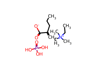 C=C(CCC)C(=O)[O-].CC[N+](C)(C)C.O=P(O)(O)O